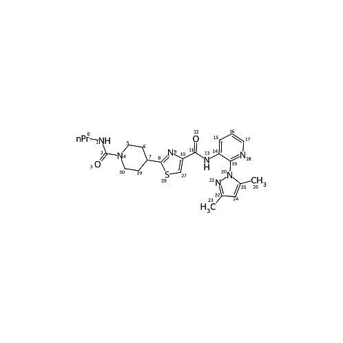 CCCNC(=O)N1CCC(c2nc(C(=O)Nc3cccnc3-n3nc(C)cc3C)cs2)CC1